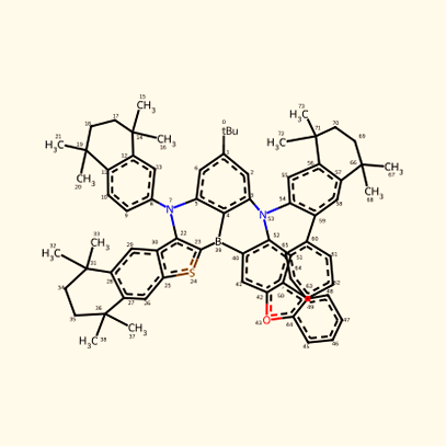 CC(C)(C)c1cc2c3c(c1)N(c1ccc4c(c1)C(C)(C)CCC4(C)C)c1c(sc4cc5c(cc14)C(C)(C)CCC5(C)C)B3c1cc3oc4ccccc4c3cc1N2c1cc2c(cc1-c1ccccc1)C(C)(C)CCC2(C)C